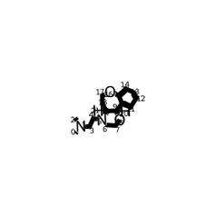 CN(C)CCN1CCO[C@H]2c3ccccc3OCC[C@@H]21